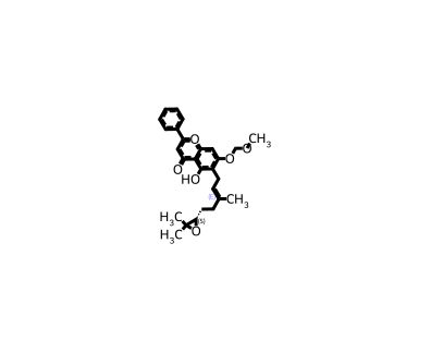 COCOc1cc2oc(-c3ccccc3)cc(=O)c2c(O)c1C/C=C(\C)CC[C@@H]1OC1(C)C